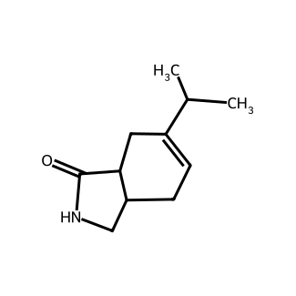 CC(C)C1=CCC2CNC(=O)C2C1